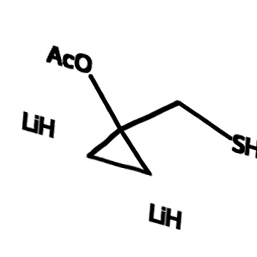 CC(=O)OC1(CS)CC1.[LiH].[LiH]